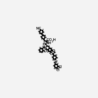 N#Cc1ccc(-c2ccc(C[C@H](NC(=O)[C@@H]3Cc4cc5c(cc4CN3Cc3ccccc3C(=O)O)OC(c3ccc(OCc4ccc(Cl)c(Cl)c4)cc3)CO5)C(=O)O)cc2)cc1